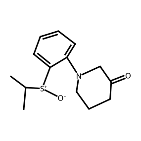 CC(C)[S+]([O-])c1ccccc1N1CCCC(=O)C1